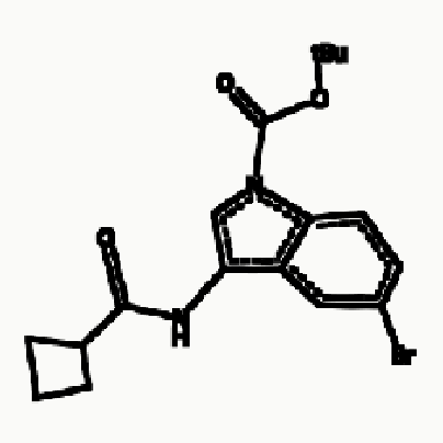 CC(C)(C)OC(=O)n1cc(NC(=O)C2CCC2)c2cc(Br)ccc21